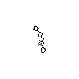 c1ccc(C2CCN(Cc3cn(-c4ccccc4)nn3)CC2)cc1